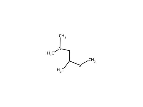 CSC(C)CN(C)C